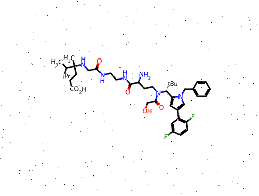 CC(C)C(C)C(C)(CCC(=O)O)NCC(=O)NCCNC(=O)[C@@H](N)CCN(C(=O)CO)[C@@H](c1cc(-c2cc(F)ccc2F)cn1Cc1ccccc1)C(C)(C)C